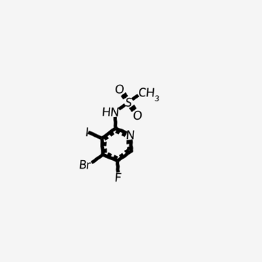 CS(=O)(=O)Nc1ncc(F)c(Br)c1I